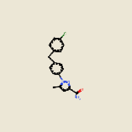 Cc1cc(C(N)=O)nn1-c1ccc(Cc2ccc(Cl)cc2)cc1